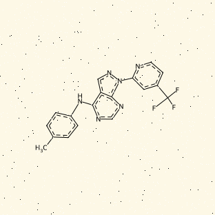 Cc1ccc(Nc2ncnc3c2cnn3-c2cc(C(F)(F)F)ccn2)cc1